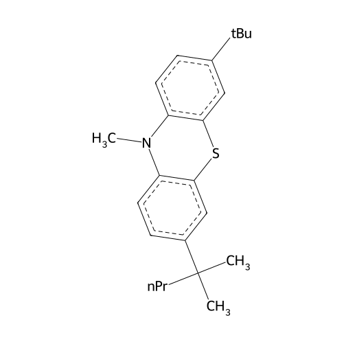 CCCC(C)(C)c1ccc2c(c1)Sc1cc(C(C)(C)C)ccc1N2C